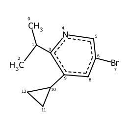 CC(C)c1ncc(Br)cc1C1CC1